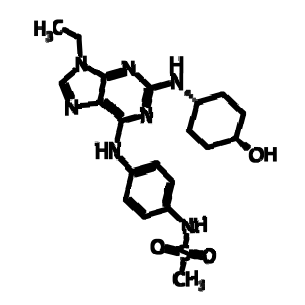 CCn1cnc2c(Nc3ccc(NS(C)(=O)=O)cc3)nc(N[C@H]3CC[C@H](O)CC3)nc21